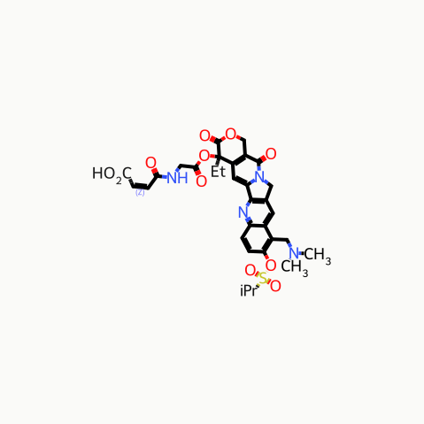 CCC1(OC(=O)CNC(=O)/C=C\C(=O)O)C(=O)OCc2c1cc1n(c2=O)Cc2cc3c(CN(C)C)c(OS(=O)(=O)C(C)C)ccc3nc2-1